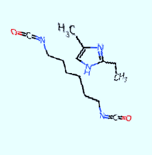 CCc1nc(C)c[nH]1.O=C=NCCCCCCN=C=O